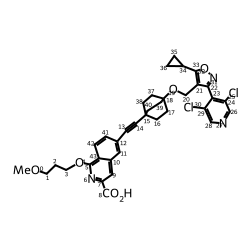 COCCCOc1nc(C(=O)O)cc2cc(C#CC34CCC(OCc5c(-c6c(Cl)cncc6Cl)noc5C5CC5)(CC3)CC4)ccc12